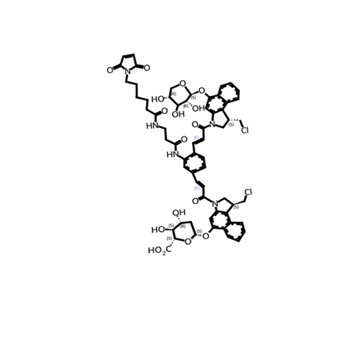 O=C(CCCCCN1C(=O)C=CC1=O)NCCC(=O)Nc1cc(/C=C/C(=O)N2C[C@@H](CCl)c3c2cc(O[C@H]2C[C@@H](O)[C@H](O)[C@@H](C(=O)O)O2)c2ccccc32)ccc1/C=C/C(=O)N1C[C@@H](CCl)c2c1cc(O[C@@H]1OC[C@@H](O)C(O)[C@H]1O)c1ccccc21